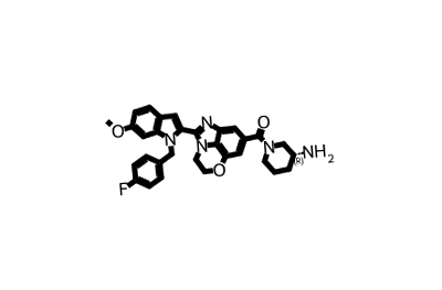 COc1ccc2cc(-c3nc4cc(C(=O)N5CCC[C@@H](N)C5)cc5c4n3CCO5)n(Cc3ccc(F)cc3)c2c1